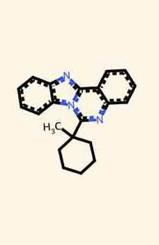 CC1(c2nc3ccccc3c3nc4ccccc4n23)CCCCC1